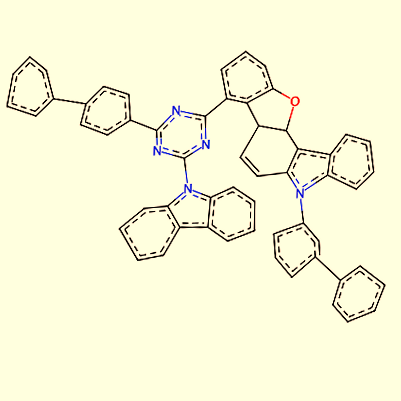 C1=CC2c3c(cccc3-c3nc(-c4ccc(-c5ccccc5)cc4)nc(-n4c5ccccc5c5ccccc54)n3)OC2c2c1n(-c1cccc(-c3ccccc3)c1)c1ccccc21